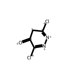 O=C1CC(Cl)=NN=C1Cl